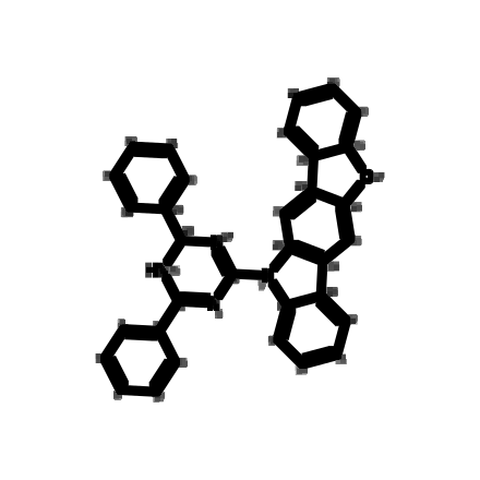 c1ccc(C2=NC(n3c4ccccc4c4cc5oc6ccccc6c5cc43)=NC(c3ccccc3)N2)cc1